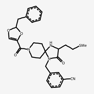 CSCCC1NC2(CCN(C(=O)C3=COC(Cc4ccccc4)O3)CC2)N(Cc2cccc(C#N)c2)C1=O